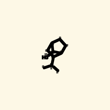 CN(C)C1CC2CCC1C2O